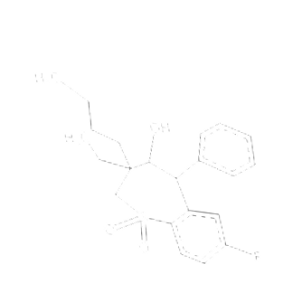 CCCCC1(CC)CS(=O)(=O)c2ccc(F)cc2C(c2ccccc2)C1O